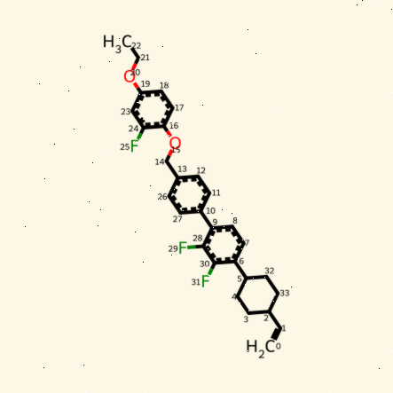 C=CC1CCC(c2ccc(-c3ccc(COc4ccc(OCC)cc4F)cc3)c(F)c2F)CC1